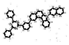 c1ccc(-c2nc(-c3ccccc3)nc(-c3cccc(-c4ccc5ccc6c(c5c4)c4ccccc4n6-c4ccc5ccccc5c4)c3)n2)cc1